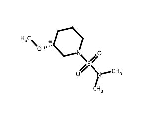 CO[C@@H]1C[CH]CN(S(=O)(=O)N(C)C)C1